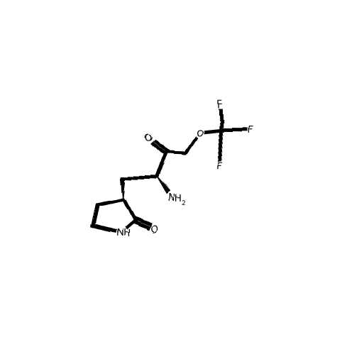 N[C@@H](C[C@@H]1CCNC1=O)C(=O)COC(F)(F)F